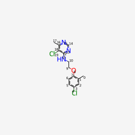 Cc1cc(Cl)ccc1OCCNc1ncnc(C)c1Cl